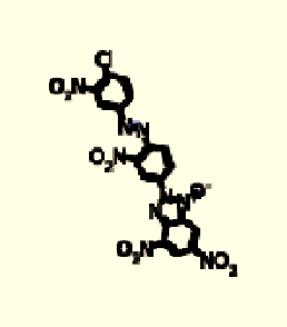 O=[N+]([O-])c1cc([N+](=O)[O-])c2nn(-c3ccc(/N=N/c4ccc(Cl)c([N+](=O)[O-])c4)c([N+](=O)[O-])c3)[n+]([O-])c2c1